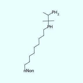 CCCCCCCCCCCCCCCCCCPC(C)(C)C(C)P